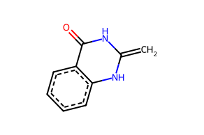 C=C1NC(=O)c2ccccc2N1